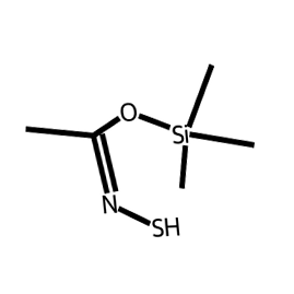 CC(=NS)O[Si](C)(C)C